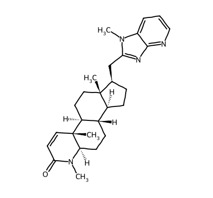 CN1C(=O)C=C[C@]2(C)[C@H]3CC[C@]4(C)[C@@H](Cc5nc6ncccc6n5C)CC[C@H]4[C@@H]3CC[C@@H]12